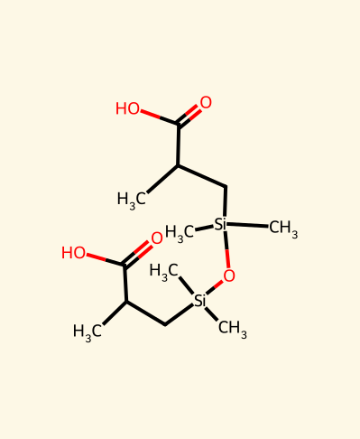 CC(C[Si](C)(C)O[Si](C)(C)CC(C)C(=O)O)C(=O)O